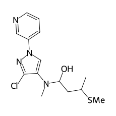 CSC(C)CC(O)N(C)c1cn(-c2cccnc2)nc1Cl